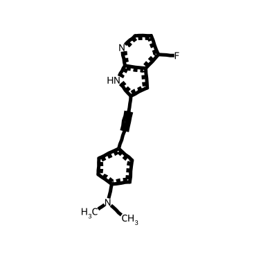 CN(C)c1ccc(C#Cc2cc3c(F)ccnc3[nH]2)cc1